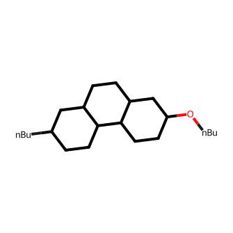 CCCCOC1CCC2C(CCC3CC(CCCC)CCC32)C1